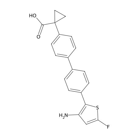 Nc1cc(F)sc1-c1ccc(-c2ccc(C3(C(=O)O)CC3)cc2)cc1